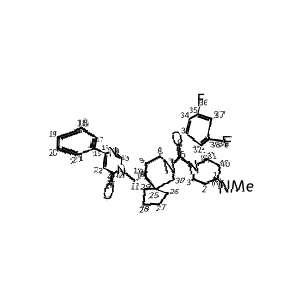 CN[C@@H]1CCN(C(=O)N2CC[C@@H](Cn3cnc(-c4ccccc4)cc3=O)C3(CCCC3)C2)[C@H](c2ccc(F)cc2F)C1